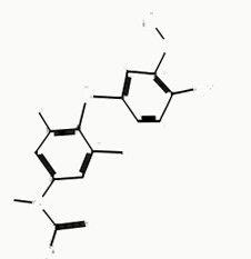 CCCC(=O)N(C)c1cc(C)c(Oc2ccc(OC)c(SC(C)C)c2)c(C)c1